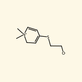 C[N+]1(C)C=CC(SCC[O])=CC1